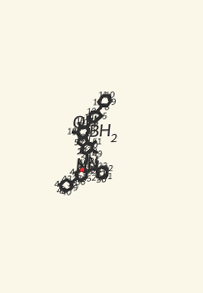 Bc1c(-c2ccc(C3=CC=CCC3)cc2)c(O)c(C)c2c1-c1c(cc(C(/N=C(/c3ccccc3)c3ccc(C4=CC=CCC4)cc3)=N/N)c(C)c1C)C2